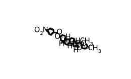 C[C@H]1CC[C@@]2(OC1)O[C@H]1C[C@H]3[C@@H]4CC[C@@H]5C[C@H](OC(=O)c6ccc([N+](=O)[O-])cc6)CC[C@]5(C)[C@H]4CC[C@]3(C)[C@H]1[C@@H]2C